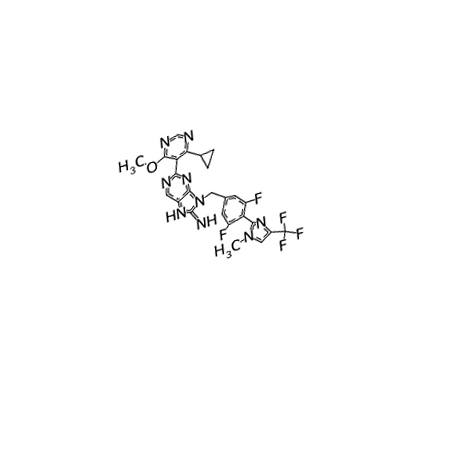 COc1ncnc(C2CC2)c1-c1ncc2[nH]c(=N)n(Cc3cc(F)c(-c4nc(C(F)(F)F)cn4C)c(F)c3)c2n1